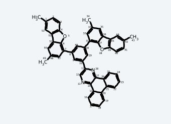 Cc1ccc2oc3c(-c4cc(-c5cnc6c7ccccc7c7ccccc7c6n5)cc(-c5cc(C)cc6c5oc5ccc(C)cc56)c4)cc(C)cc3c2c1